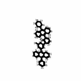 CC1C=C(c2c3ccccc3c(-c3ccccc3)c3ccccc23)C=C2c3cccc(-c4c5c(c(C6CCCCC6)c6ccccc46)C=CCC5)c3SC21